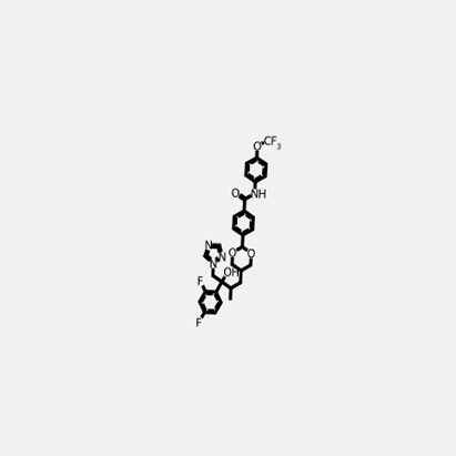 CC(CC1COC(c2ccc(C(=O)Nc3ccc(OC(F)(F)F)cc3)cc2)OC1)C(O)(Cn1cncn1)c1ccc(F)cc1F